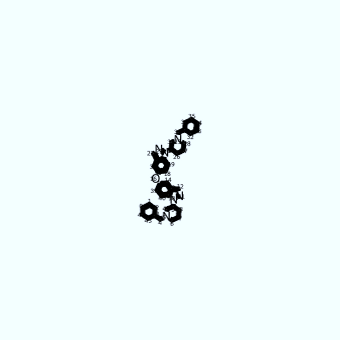 C1=CCC(CN2CCCC(n3ncc4cc(Oc5ccc6c(cnn6C6CCCN(CC7CC=CCC7)C6)c5)ccc43)C2)CC1